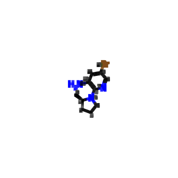 C[C@@H]1CCCN1c1ncc(Br)cc1N